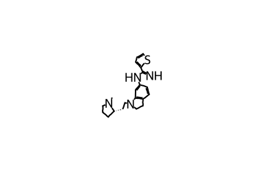 CN1CCC[C@H]1CCN1CCc2ccc(NC(=N)c3cccs3)cc21